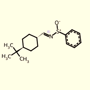 CC(C)(C)[C@H]1CC[C@H](/C=N/[S+]([O-])c2ccccc2)CC1